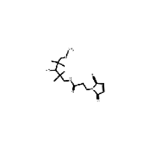 CC(C)(CNC(=O)CCN1C(=O)C=CC1=O)C(O)C(C)(C)CON